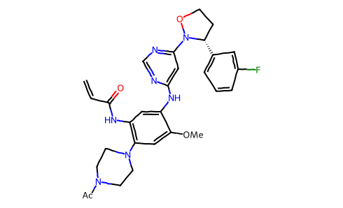 C=CC(=O)Nc1cc(Nc2cc(N3OCC[C@@H]3c3cccc(F)c3)ncn2)c(OC)cc1N1CCN(C(C)=O)CC1